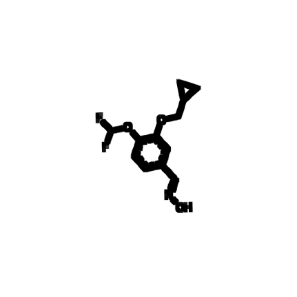 O/N=C/c1ccc(OC(F)F)c(OCC2CC2)c1